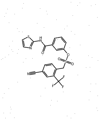 N#Cc1ccc(CS(=O)(=O)Oc2cccc(C(=O)Nc3nccs3)c2)c(C(F)(F)F)c1